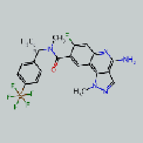 C[C@@H](c1ccc(S(F)(F)(F)(F)F)cc1)N(C)C(=O)c1cc2c(cc1F)nc(N)c1cnn(C)c12